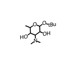 CC1OC(OC(C)(C)C)C(O)C(N(C)C)C1O